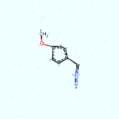 [CH2]Oc1ccc(C=[N+]=[N-])cc1